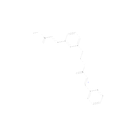 COC(=O)/C=C/c1cccc(CCOC(=O)/C=C/c2ccccc2)c1